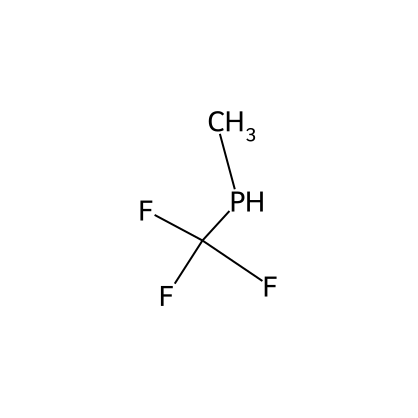 CPC(F)(F)F